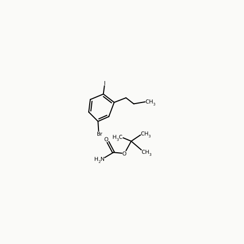 CC(C)(C)OC(N)=O.CCCc1cc(Br)ccc1I